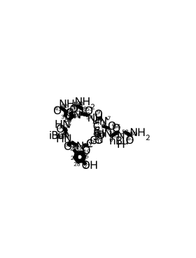 CCCC[C@H](NC(=O)CN(C)C(=O)[C@@H]1CCS(=O)(=O)CCC(=O)N[C@H](Cc2ccc(O)cc2)C(=O)N[C@@H]([C@@H](C)CC)C(=O)N[C@@H](CCC(N)=O)C(=O)N[C@@H](CC(N)=O)C(=O)N1)C(=O)NCC(N)=O